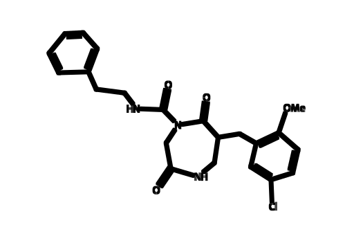 COc1ccc(Cl)cc1CC1CNC(=O)CN(C(=O)NCCc2ccccc2)C1=O